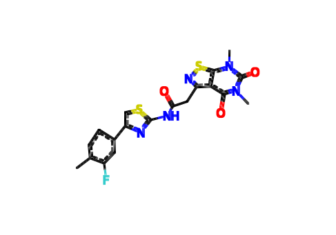 Cc1ccc(-c2csc(NC(=O)Cc3nsc4c3c(=O)n(C)c(=O)n4C)n2)cc1F